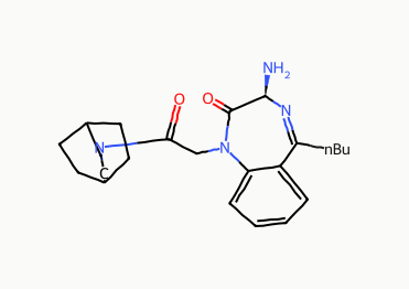 CCCCC1=N[C@H](N)C(=O)N(CC(=O)N2CC3CCC(CC3)C2)c2ccccc21